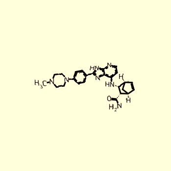 CN1CCN(c2ccc(-c3nc4c(N[C@H]5[C@@H](C(N)=O)[C@@H]6C=C[C@H]5C6)ccnc4[nH]3)cc2)CC1